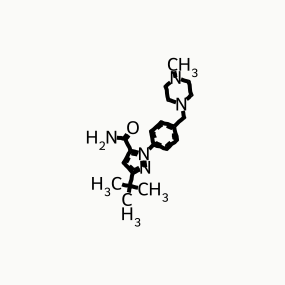 CN1CCN(Cc2ccc(-n3nc(C(C)(C)C)cc3C(N)=O)cc2)CC1